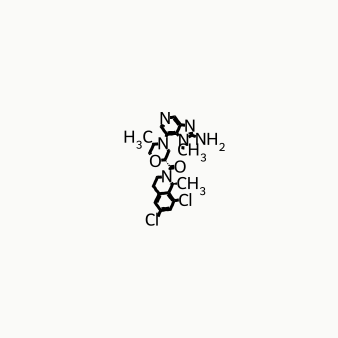 C[C@H]1c2c(Cl)cc(Cl)cc2CCN1C(=O)[C@H]1CN(c2cncc3nc(N)n(C)c23)[C@@H](C)CO1